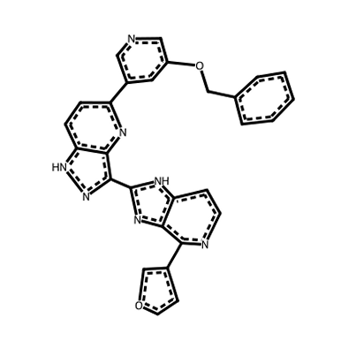 c1ccc(COc2cncc(-c3ccc4[nH]nc(-c5nc6c(-c7ccoc7)nccc6[nH]5)c4n3)c2)cc1